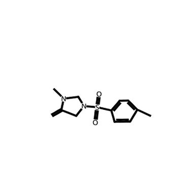 C=C1CN(S(=O)(=O)c2ccc(C)cc2)CN1C